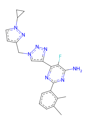 Cc1cccc(-c2nc(N)c(F)c(-c3cn(Cc4ccn(C5CC5)n4)nn3)n2)c1C